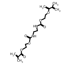 C=C(C)C(=C)OCCOC(=O)NCCNC(=O)OCCOC(=O)C(=C)C